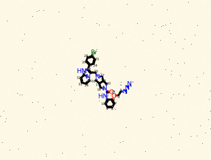 [N-]=[N+]=NCCOc1ccccc1NC(=O)N1CC2CN(CC3=C(c4ccc(Br)cc4)NC4C=CC=CN34)CC2C1